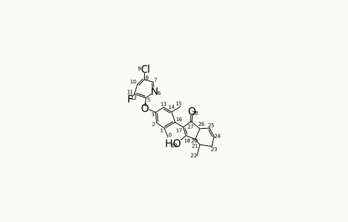 Cc1cc(Oc2ncc(Cl)cc2F)cc(C)c1C1=C(O)C2C(C)CC=CC2C1=O